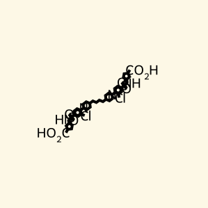 O=C(O)C1CCC(NS(=O)(=O)c2ccc(N3CCC(CCCCC4CCN(c5ccc(S(=O)(=O)NC6CCC(C(=O)O)C6)cc5Cl)CC4)CC3)c(Cl)c2)C1